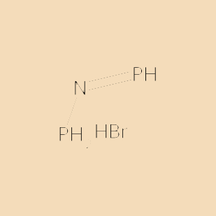 Br.P=NP